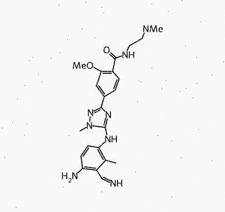 CNCCNC(=O)c1ccc(-c2nc(Nc3ccc(N)c(C=N)c3C)n(C)n2)cc1OC